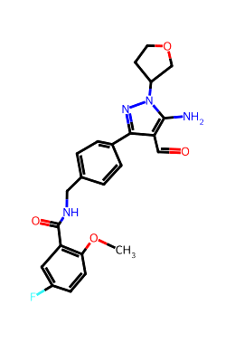 COc1ccc(F)cc1C(=O)NCc1ccc(-c2nn(C3CCOC3)c(N)c2C=O)cc1